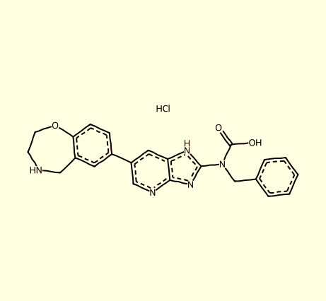 Cl.O=C(O)N(Cc1ccccc1)c1nc2ncc(-c3ccc4c(c3)CNCCO4)cc2[nH]1